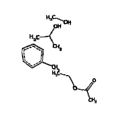 CC(C)O.CCOC(C)=O.CO.Cc1ccccc1